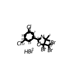 Br.CC1(C)N=C(c2cc(Cl)cc(Cl)c2)OC1(Br)C(Br)Br